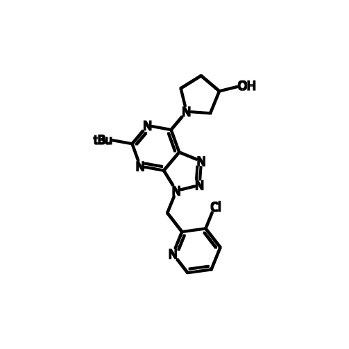 CC(C)(C)c1nc(N2CCC(O)C2)c2nnn(Cc3ncccc3Cl)c2n1